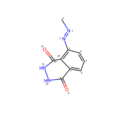 C/N=N/c1cccc2c(=O)[nH][nH]c(=O)c12